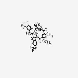 COc1cc(C)c(C(=O)NCC2(S(C)(=O)=O)CC2)cc1C(=O)Nc1c(C(=O)Nc2ccc(F)c(C(F)(F)F)c2)sc2cc(C(F)(F)F)ccc12